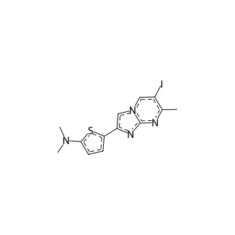 Cc1nc2nc(-c3ccc(N(C)C)s3)cn2cc1I